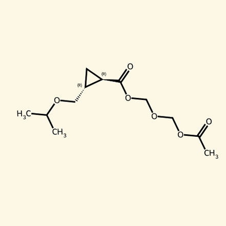 CC(=O)OCOCOC(=O)[C@@H]1C[C@H]1COC(C)C